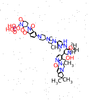 [2H]C([2H])([2H])Oc1ncc(-c2ccnc(N3CCn4c(cc5c4CC(C)(C)C5)C3=O)c2[C@@H](C)O)cc1Nc1ccc(N2CCN(C3CCN(c4ccc5c(c4)C(=O)N([C@H]4CCC(=O)N(COP(=O)(O)O)C4=O)C5=O)CC3)C[C@@H]2C)cn1